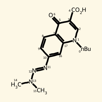 CCCCn1cc(C(=O)O)c(=O)c2ccc(N=NN(C)C)cc21